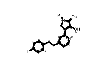 CC(C)N1CC(c2cc(CCc3ccc(F)cc3)ccn2)=C(O)C1=O